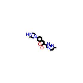 Cc1ccn2cc(-c3cc4ccc(N5CCN[C@@H](C)C5)cc4oc3=O)nc2n1